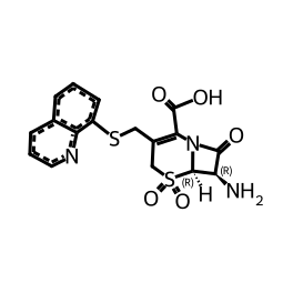 N[C@@H]1C(=O)N2C(C(=O)O)=C(CSc3cccc4cccnc34)CS(=O)(=O)[C@H]12